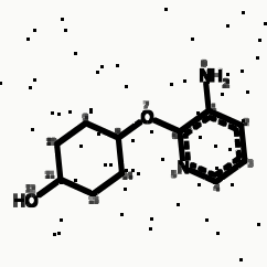 Nc1cccnc1OC1CCC(O)CC1